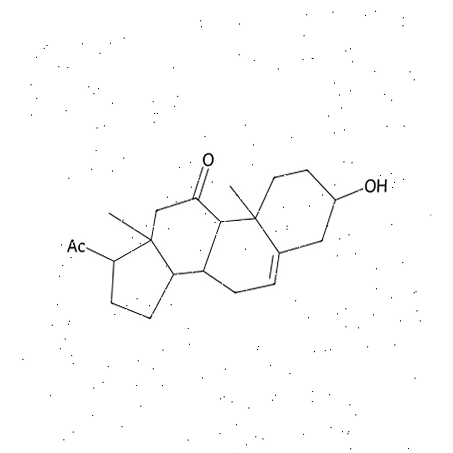 CC(=O)C1CCC2C3CC=C4CC(O)CCC4(C)C3C(=O)CC12C